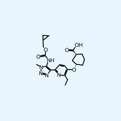 CCc1nc(-c2nnn(C)c2NC(=O)OCC2CC2)ccc1O[C@H]1CCC[C@H](C(=O)O)C1